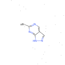 CCCc1ncc2cn[nH]c2n1